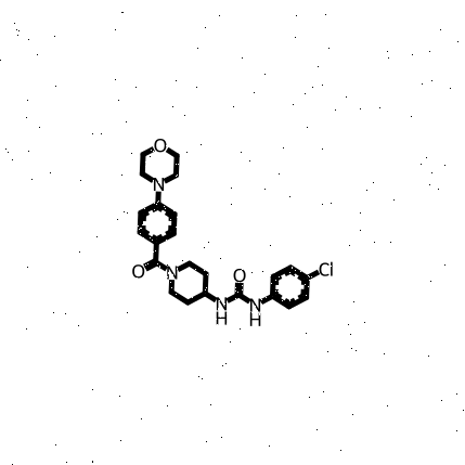 O=C(Nc1ccc(Cl)cc1)NC1CCN(C(=O)c2ccc(N3CCOCC3)cc2)CC1